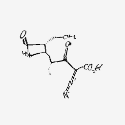 C[C@@H](C(=O)C(=[N+]=[N-])C(=O)O)[C@H]1NC(=O)[C@@H]1CO